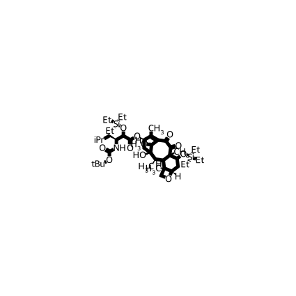 CC[Si](CC)(CC)OC(C(=O)O[C@H]1C[C@@]2(O)[C@@H](C)[C@@H]3[C@]4(C)CO[C@@H]4CC(O[Si](CC)(CC)CC)[C@@]3(C)C(=O)C(=O)C(=C1C)C2(C)C)[C@H](CC(C)C)NC(=O)OC(C)(C)C